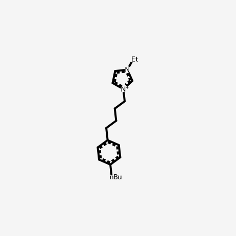 CCCCc1ccc(CCCC[n+]2ccn(CC)c2)cc1